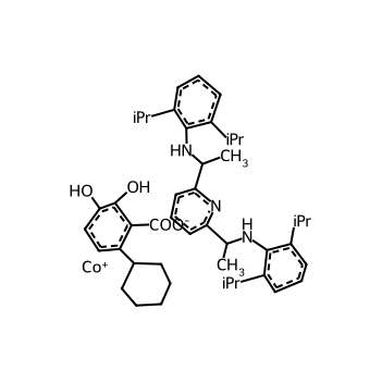 CC(C)c1cccc(C(C)C)c1NC(C)c1cccc(C(C)Nc2c(C(C)C)cccc2C(C)C)n1.O=C([O-])c1c(C2CCCCC2)ccc(O)c1O.[Co+]